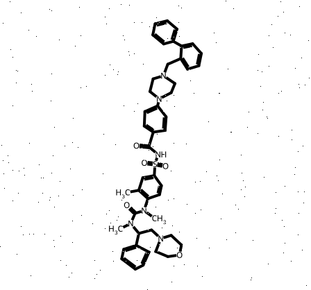 Cc1cc(S(=O)(=O)NC(=O)c2ccc(N3CCN(Cc4ccccc4-c4ccccc4)CC3)cc2)ccc1N(C)C(=O)N(C)C(CN1CCOCC1)c1ccccc1